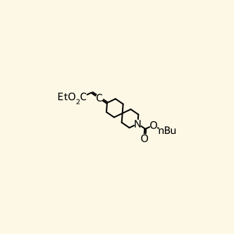 CCCCOC(=O)N1CCC2(CCC(=C=CC(=O)OCC)CC2)CC1